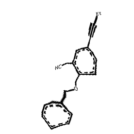 CCC#Cc1ccc(OCc2ccccc2)c(C#N)c1